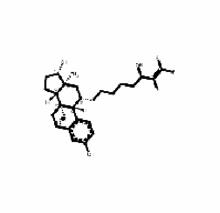 C=C[C@@]12CCc3cc(O)ccc3[C@H]1[C@@H](CCCCCC(O)C(F)=C(F)F)C[C@@]1(C)[C@H]2CC[C@@H]1O